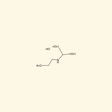 CCCCCCCCC(CCCCCCCC)NCCOC(C)=O.Cl